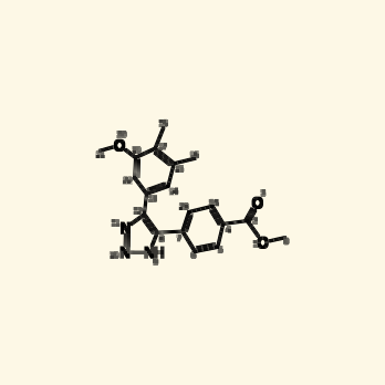 COC(=O)c1ccc(-c2[nH]nnc2-c2cc(C)c(C)c(OC)c2)cc1